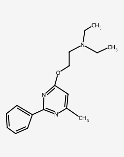 CCN(CC)CCOc1cc(C)nc(-c2ccccc2)n1